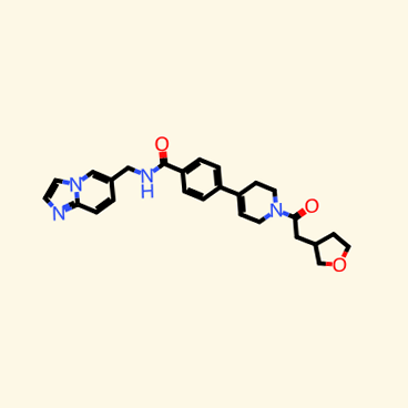 O=C(NCc1ccc2nccn2c1)c1ccc(C2=CCN(C(=O)CC3CCOC3)CC2)cc1